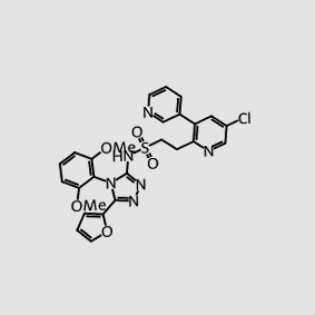 COc1cccc(OC)c1-n1c(NS(=O)(=O)CCc2ncc(Cl)cc2-c2cccnc2)nnc1-c1ccco1